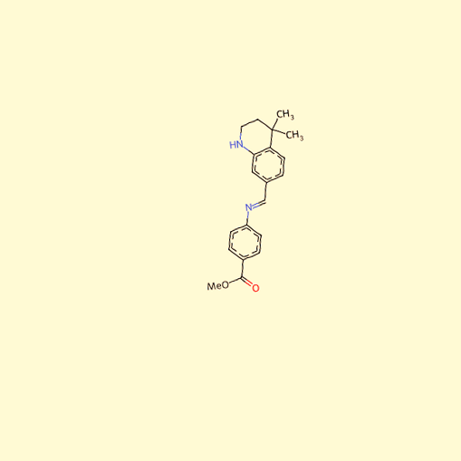 COC(=O)c1ccc(N=Cc2ccc3c(c2)NCCC3(C)C)cc1